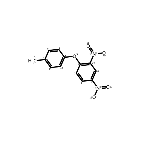 Cc1ccc(Oc2ccc([N+](=O)[O-])cc2[N+](=O)[O-])cc1